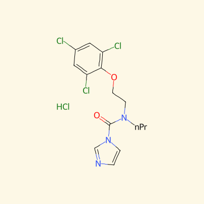 CCCN(CCOc1c(Cl)cc(Cl)cc1Cl)C(=O)n1ccnc1.Cl